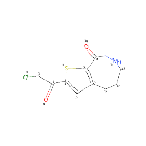 O=C(CCl)c1cc2c(s1)C(=O)NCCC2